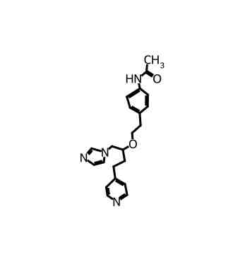 CC(=O)Nc1ccc(CCOC(CCc2ccncc2)Cn2ccnc2)cc1